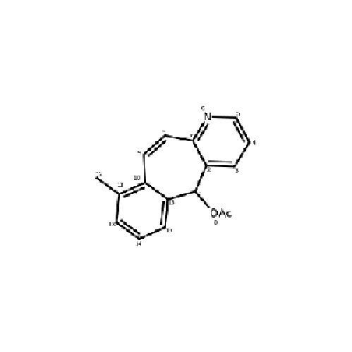 CC(=O)OC1c2cccnc2C=Cc2c(C)cccc21